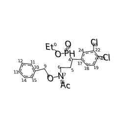 CCO[PH](=O)C(CCN(OCc1ccccc1)C(C)=O)c1ccc(Cl)c(Cl)c1